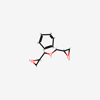 C(OCC1CO1)C1CO1.c1ccccc1